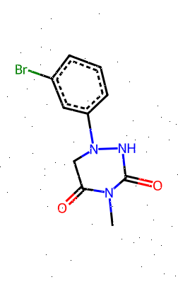 CN1C(=O)CN(c2cccc(Br)c2)NC1=O